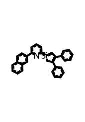 C1=[Si](c2cccc(-c3ccc4ccccc4c3)n2)CC(c2ccccc2)=C1c1ccccc1